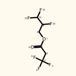 O=C(CC(F)(F)F)OCC(F)C(F)F